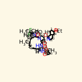 CCOc1ccc2c(O[C@@H]3C[C@H]4C(=O)N[C@]5(C(=O)NS(=O)(=O)C6(C)CC6)C[C@H]5C=CCC[C@H](C)C[C@@H](CC)[C@H](N(C(=O)O)C(C)(C)C(C)(F)F)C(=O)N4C3)nccc2c1